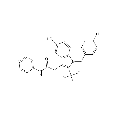 O=C(Cc1c(C(F)(F)F)n(Cc2ccc(Cl)cc2)c2ccc(O)cc12)Nc1ccncc1